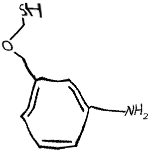 Nc1cccc(OS)c1